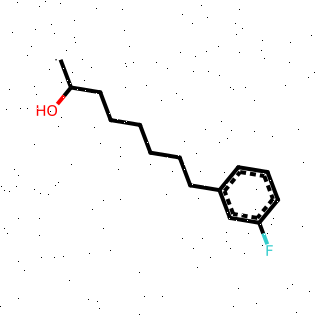 [CH2]C(O)CCCCCCc1cccc(F)c1